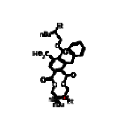 CCCCC(CC)COC(=O)c1cc(C(=O)O)c(C(=O)OCC(CC)CCCC)c(Cc2ccccc2)c1C(=O)OCC(CC)CCCC